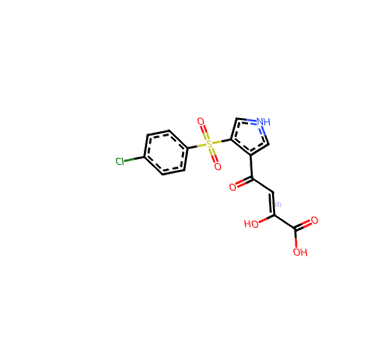 O=C(O)/C(O)=C/C(=O)c1c[nH]cc1S(=O)(=O)c1ccc(Cl)cc1